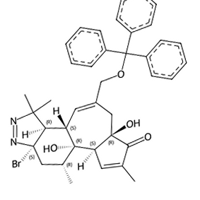 CC1=C[C@H]2[C@@]3(O)[C@H](C)C[C@@]4(Br)N=NC(C)(C)[C@H]4[C@@H]3C=C(COC(c3ccccc3)(c3ccccc3)c3ccccc3)C[C@]2(O)C1=O